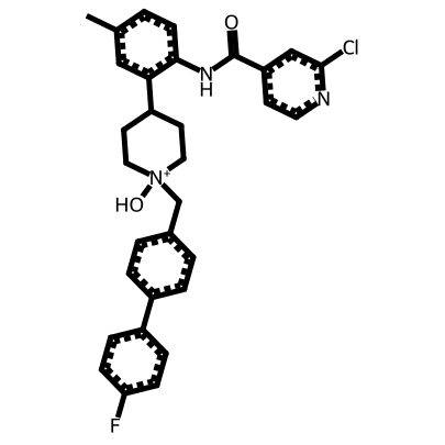 Cc1ccc(NC(=O)c2ccnc(Cl)c2)c(C2CC[N+](O)(Cc3ccc(-c4ccc(F)cc4)cc3)CC2)c1